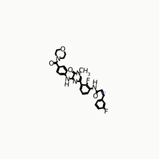 Cn1cc(-c2cccc(NC(=O)/C=C\c3cccc(F)c3)c2F)nc(Nc2ccc(C(=O)N3CCOCC3)cc2)c1=O